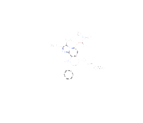 CCN(CC)C(=O)Oc1cc2c(c3nc(C)c(C)n13)N[C@@H](c1ccccc1)C[C@H]2OCCOC